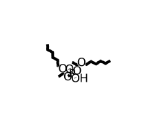 CCCCCCOC(C)OP(=O)(O)OC(C)OCCCCCC